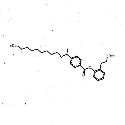 CCCCCCCCCCCCCCCCCCOC(C)c1ccc(C(=O)Oc2ccccc2CCCCCCCCCCCC)cc1